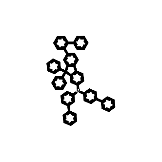 c1ccc(-c2ccc(N(c3cccc(-c4ccccc4)c3)c3ccc4c(c3)C(c3ccccc3)(c3ccccc3)c3cc(-c5ccccc5-c5ccccc5)ccc3-4)cc2)cc1